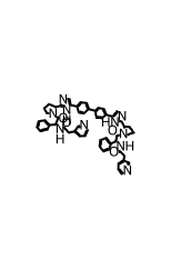 O=C(Cc1cccnc1)NC(C(=O)N1CCCC1c1ncc(-c2ccc(-c3ccc(-c4cnc(C5CCCN5C(=O)C(NC(=O)Cc5cccnc5)c5ccccc5)[nH]4)cc3)cc2)[nH]1)c1ccccc1